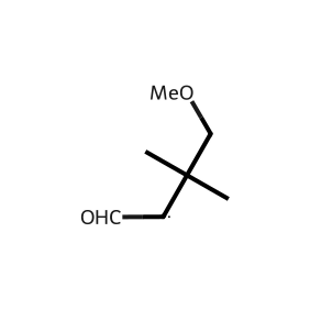 COCC(C)(C)[CH]C=O